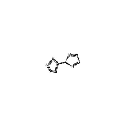 C1=NC(c2ccns2)N=C1